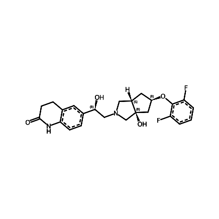 O=C1CCc2cc([C@@H](O)CN3C[C@@H]4C[C@@H](Oc5c(F)cccc5F)C[C@]4(O)C3)ccc2N1